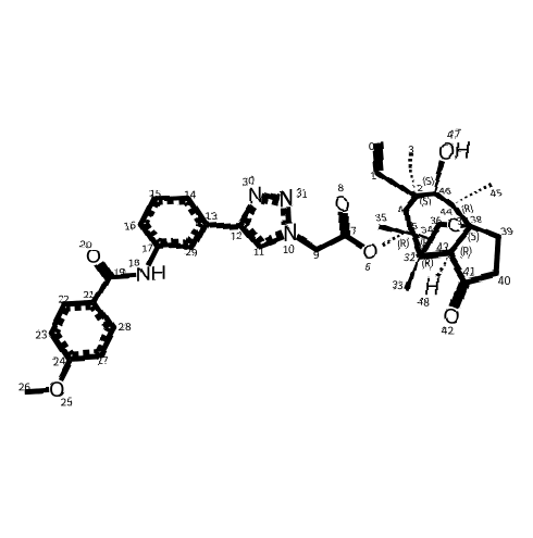 C=C[C@]1(C)C[C@@H](OC(=O)Cn2cc(-c3cccc(NC(=O)c4ccc(OC)cc4)c3)nn2)[C@]2(C)[C@H](C)CC[C@]3(CCC(=O)[C@H]32)[C@@H](C)[C@@H]1O